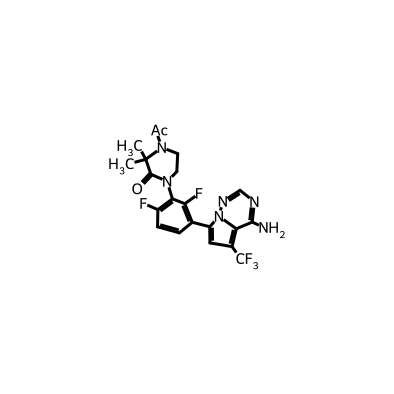 CC(=O)N1CCN(c2c(F)ccc(-c3cc(C(F)(F)F)c4c(N)ncnn34)c2F)C(=O)C1(C)C